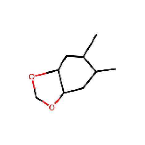 CC1CC2OCOC2CC1C